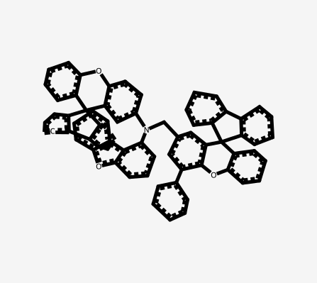 c1ccc(-c2cc(CN(c3ccc4c(c3)C3(c5ccccc5O4)c4ccccc4-c4ccccc43)c3cccc4oc5ccccc5c34)cc3c2Oc2ccccc2C32c3ccccc3-c3ccccc32)cc1